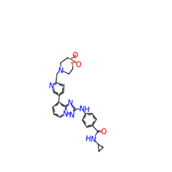 O=C(NC1CC1)c1ccc(Nc2nc3c(-c4ccc(CN5CCS(=O)(=O)CC5)nc4)cccn3n2)cc1